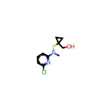 CN(SC1(CO)CC1)c1cccc(Cl)n1